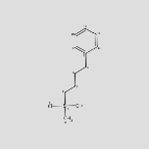 C[Si](Cl)(Cl)CCCCc1ccccc1